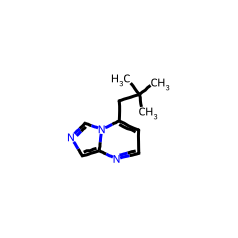 CC(C)(C)Cc1ccnc2cncn12